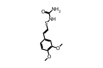 COc1ccc(C=CSNC(N)=O)cc1OC